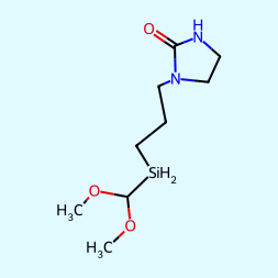 COC(OC)[SiH2]CCCN1CCNC1=O